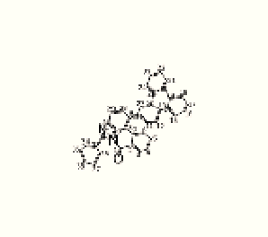 O=c1c2ccccc2c2c(-c3ccc4c5ccccc5c5ccccc5c4c3)ccc3nc(-c4ccccc4)n1c32